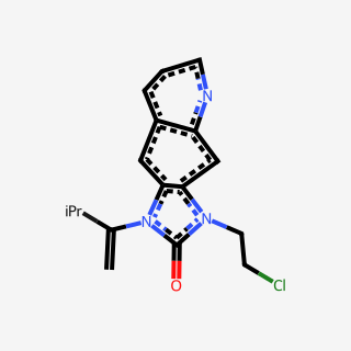 C=C(C(C)C)n1c(=O)n(CCCl)c2cc3ncccc3cc21